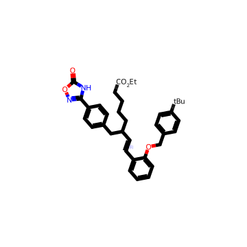 CCOC(=O)CCCCC(/C=C/c1ccccc1OCc1ccc(C(C)(C)C)cc1)Cc1ccc(-c2noc(=O)[nH]2)cc1